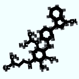 Cc1c(N)c(NCCN(C)C)nc(OC(C)C)c1Nc1nccc(-c2cn(C)c3ccccc23)n1